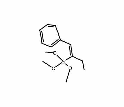 CCC(=Cc1ccccc1)[Si](OC)(OC)OC